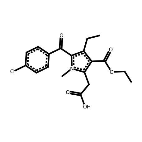 CCOC(=O)c1c(CC)c(C(=O)c2ccc(Cl)cc2)n(C)c1CC(=O)O